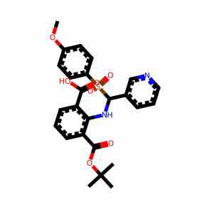 COc1ccc(S(=O)(=O)C(Nc2c(C(=O)O)cccc2C(=O)OC(C)(C)C)c2cccnc2)cc1